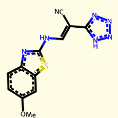 COc1ccc2nc(N/C=C(\C#N)c3nnn[nH]3)sc2c1